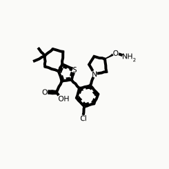 CC1(C)CCc2sc(-c3cc(Cl)ccc3N3CC[C@@H](ON)C3)c(C(=O)O)c2C1